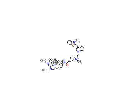 CN1/C(=C/c2cc[n+](CCC[N+](C)(C)CCCCC(=O)Nc3ccc(CC(CN(CCN(CC=O)CC(=O)O)CC(=O)O)N(CC=O)CC(=O)O)cc3)c3ccccc23)Sc2ccccc21